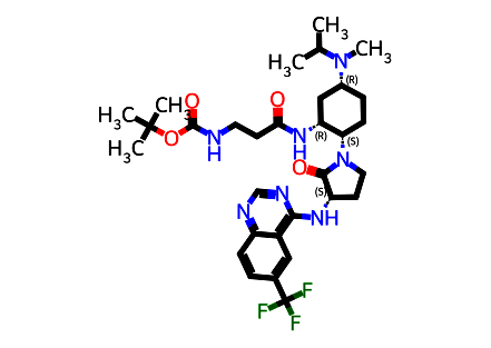 CC(C)N(C)[C@@H]1CC[C@H](N2CC[C@H](Nc3ncnc4ccc(C(F)(F)F)cc34)C2=O)[C@H](NC(=O)CCNC(=O)OC(C)(C)C)C1